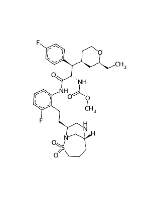 CC[C@H]1C[C@@H]([C@H](c2ccc(F)cc2)[C@H](NC(=O)OC)C(=O)Nc2cccc(F)c2CC[C@H]2CN[C@@H]3CCCS(=O)(=O)N2C3)CCO1